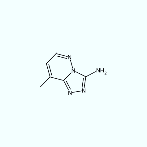 Cc1c[c]nn2c(N)nnc12